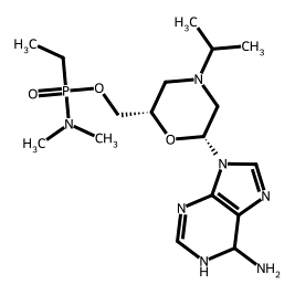 CCP(=O)(OC[C@@H]1CN(C(C)C)C[C@H](n2cnc3c2N=CNC3N)O1)N(C)C